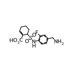 NCc1ccc(NS(=O)(=O)C2CCCC=C2C(=O)O)c(F)c1